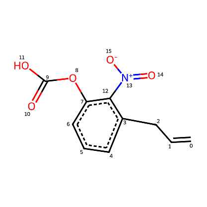 C=CCc1cccc(OC(=O)O)c1[N+](=O)[O-]